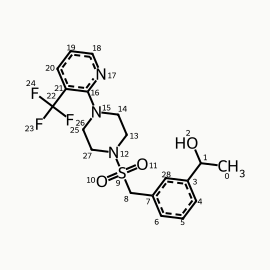 CC(O)c1cccc(CS(=O)(=O)N2CCN(c3ncccc3C(F)(F)F)CC2)c1